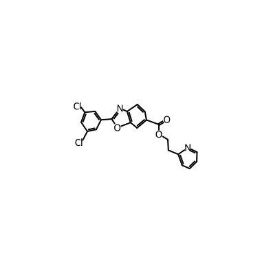 O=C(OCCc1ccccn1)c1ccc2nc(-c3cc(Cl)cc(Cl)c3)oc2c1